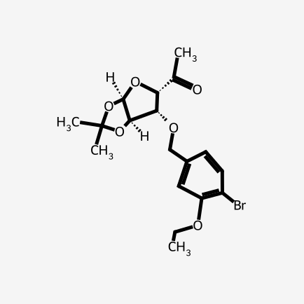 CCOc1cc(CO[C@@H]2[C@H]3OC(C)(C)O[C@H]3O[C@@H]2C(C)=O)ccc1Br